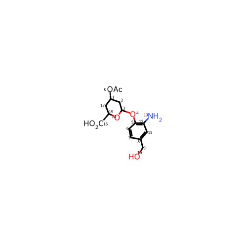 CC(=O)OC1CC(Oc2ccc(CO)cc2N)OC(C(=O)O)C1